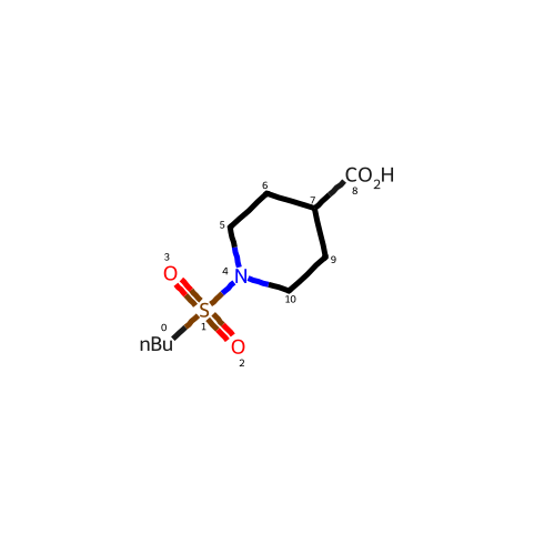 CCCCS(=O)(=O)N1CCC(C(=O)O)CC1